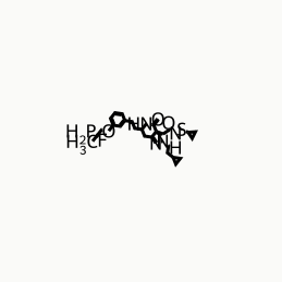 CC(F)(P)COc1cccc(CCC2Cc3nn(CCC4CC4)c(C(=O)NSC4CC4)c3C(=O)N2)c1